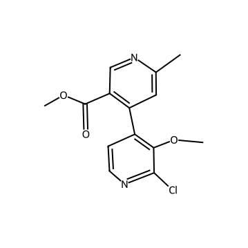 COC(=O)c1cnc(C)cc1-c1ccnc(Cl)c1OC